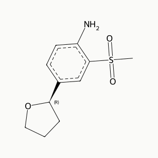 CS(=O)(=O)c1cc([C@H]2CCCO2)ccc1N